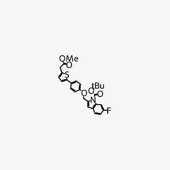 COC(=O)Cc1ccc(-c2ccc(OCc3cc4ccc(F)cc4n3C(=O)OC(C)(C)C)cc2)s1